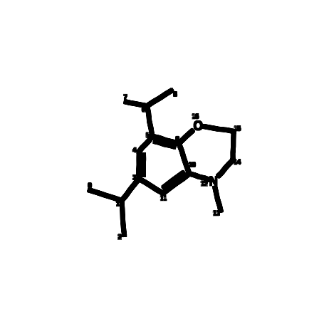 CC(C)c1cc(C(C)C)c2c(c1)N(C)CCO2